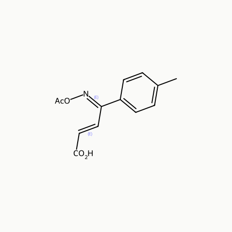 CC(=O)O/N=C(\C=C\C(=O)O)c1ccc(C)cc1